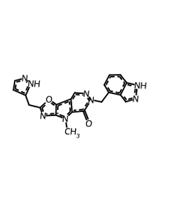 Cn1c2nc(Cc3ccn[nH]3)oc2c2cnn(Cc3cccc4[nH]ncc34)c(=O)c21